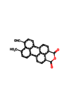 O=Cc1ccc2c3ccc4c5c(ccc(c6ccc(C(=O)O)c1c26)c53)C(=O)OC4=O